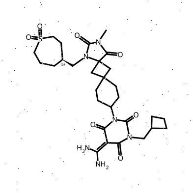 CN1C(=O)N(C[C@H]2CCCS(=O)(=O)CC2)C2(CC3(CCC(N4C(=O)C(=C(N)N)C(=O)N(CC5CCC5)C4=O)CC3)C2)C1=O